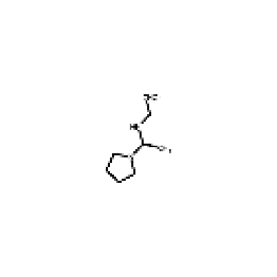 CC(NC[C]=O)N1CCCC1